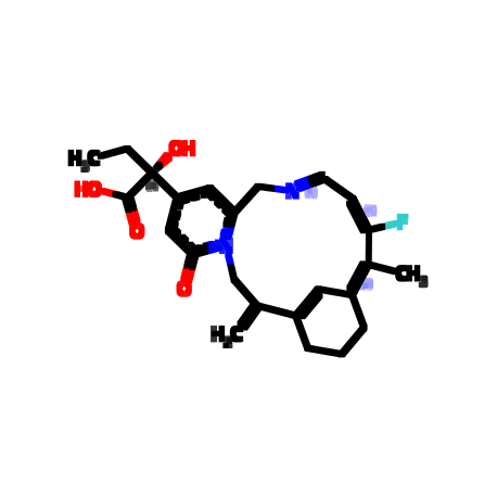 C=C1Cn2c(cc([C@@](O)(CC)C(=O)O)cc2=O)C/N=C/C=C(F)\C(C)=C2/C=C1CCC2